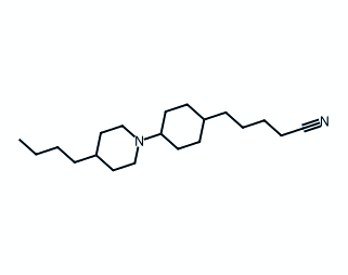 CCCCC1CCN(C2CCC(CCCCC#N)CC2)CC1